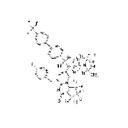 [2H]C([2H])(C)N(C([2H])([2H])C)C([2H])([2H])C([2H])([2H])N(C(=O)Cn1c(SCc2ccc(F)cc2)nc(=O)c2c1C([2H])([2H])C([2H])(C)C2([2H])[2H])C([2H])([2H])c1ccc(-c2ccc(C(F)(F)F)cc2)cc1